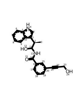 C[C@H](c1c[nH]c2ccccc12)C(O)NC(=O)c1cccc(C#CCO)c1